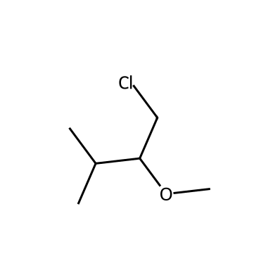 COC(CCl)C(C)C